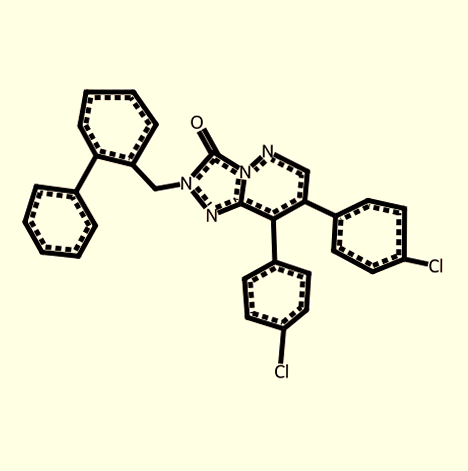 O=c1n(Cc2ccccc2-c2ccccc2)nc2c(-c3ccc(Cl)cc3)c(-c3ccc(Cl)cc3)cnn12